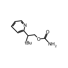 CC(C)(C)C(COC(N)=O)c1ccccn1